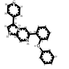 c1ccc(Oc2ccccc2-c2cn3c(-c4ccncc4)cnc3cn2)cc1